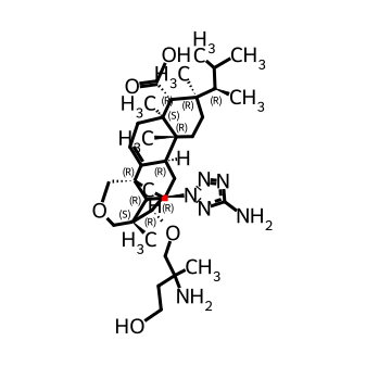 CC(C)[C@@H](C)[C@@]1(C)CC[C@]2(C)[C@H]3CC[C@@H]4[C@@]5(COC[C@@]4(C)[C@@H](OCC(C)(N)CCO)[C@H](n4nnc(N)n4)C5)C3=CC[C@@]2(C)[C@@H]1C(=O)O